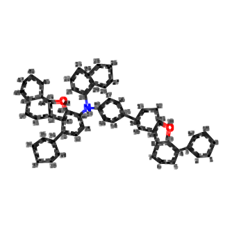 c1ccc(-c2cccc3c2oc2ccc(-c4ccc(N(c5cccc6ccccc56)c5ccc(-c6ccccc6)c6c5oc5c7ccccc7ccc56)cc4)cc23)cc1